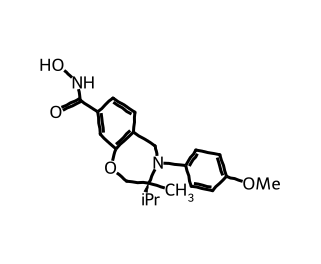 COc1ccc(N2Cc3ccc(C(=O)NO)cc3OC[C@]2(C)C(C)C)cc1